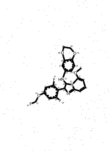 COC1=CC=CC2=NC(c3c(F)cc(OCF)cc3F)C(Nc3ccc4c(c3)OCCO4)N12